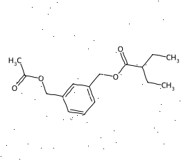 CCC(CC)C(=O)OCc1cccc(COC(C)=O)c1